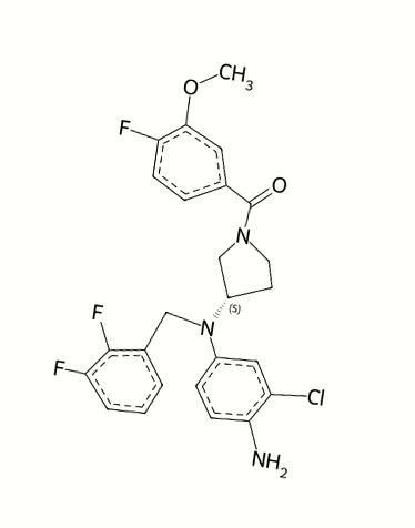 COc1cc(C(=O)N2CC[C@H](N(Cc3cccc(F)c3F)c3ccc(N)c(Cl)c3)C2)ccc1F